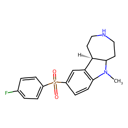 CN1c2ccc(S(=O)(=O)c3ccc(F)cc3)cc2[C@H]2CCNCCC21